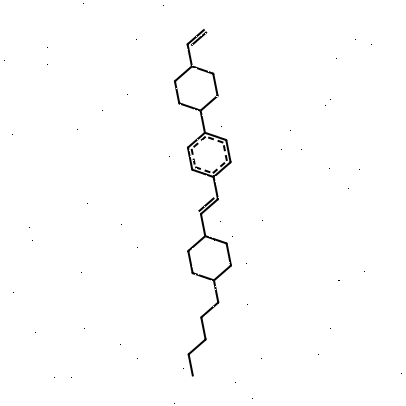 C=CC1CCC(c2ccc(C=CC3CCC(CCCCC)CC3)cc2)CC1